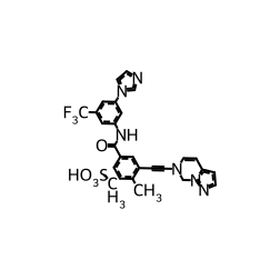 CS(=O)(=O)O.Cc1ccc(C(=O)Nc2cc(-n3ccnc3)cc(C(F)(F)F)c2)cc1C#CN1C=Cc2ccnn2C1